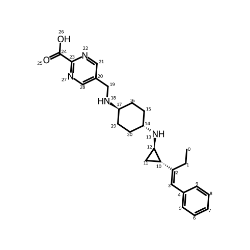 CC/C(=C\c1ccccc1)[C@@H]1C[C@H]1N[C@H]1CC[C@H](NCc2cnc(C(=O)O)nc2)CC1